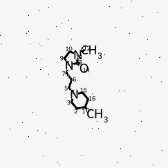 CC1CCN(CCCN2CCN(C)C2=O)CC1